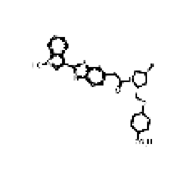 Cn1cc(-c2nc3ccc(CC(=O)N4C[C@@H](F)C[C@H]4COC4CCC(C(=O)O)CC4)cc3o2)c2ccccc21